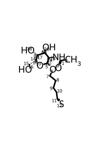 CC(=O)N[C@H]1[C@@H](OCCCCC=S)O[C@H](CO)[C@H](O)[C@@H]1O